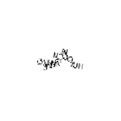 CC(C)(O)COc1cc(-c2ccc(N3CCC(C(=O)Nc4ccccc4)C3)nc2)c2c(C#N)cnn2c1